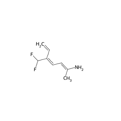 C=C/C(=C\C=C(/C)N)C(F)F